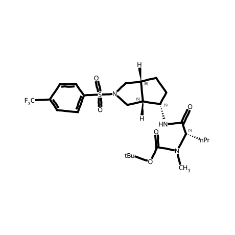 CCC[C@@H](C(=O)N[C@H]1CC[C@H]2CN(S(=O)(=O)c3ccc(C(F)(F)F)cc3)C[C@H]21)N(C)C(=O)OC(C)(C)C